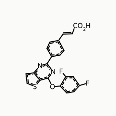 O=C(O)/C=C/c1ccc(-c2nc(Oc3ccc(F)cc3F)c3sccc3n2)cc1